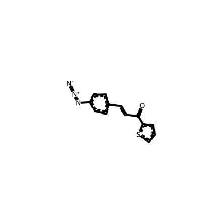 [N-]=[N+]=Nc1ccc(C=CC(=O)c2cccs2)cc1